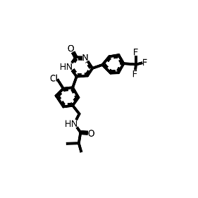 CC(C)C(=O)NCc1ccc(Cl)c(-c2cc(-c3ccc(C(F)(F)F)cc3)nc(=O)[nH]2)c1